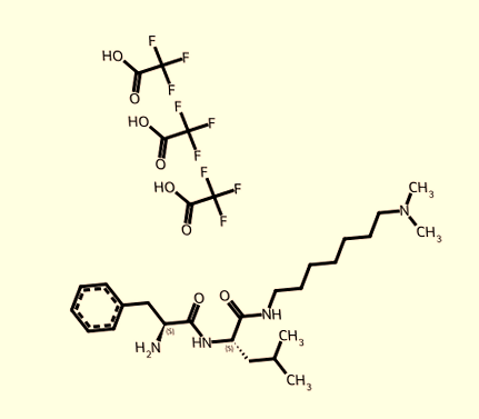 CC(C)C[C@H](NC(=O)[C@@H](N)Cc1ccccc1)C(=O)NCCCCCCCN(C)C.O=C(O)C(F)(F)F.O=C(O)C(F)(F)F.O=C(O)C(F)(F)F